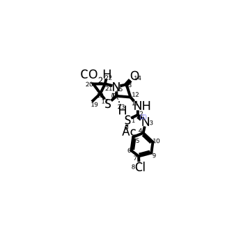 CC(=O)S/C(=N\c1ccc(Cl)cc1)NC1C(=O)N2[C@@H]1SC1(C)CC21C(=O)O